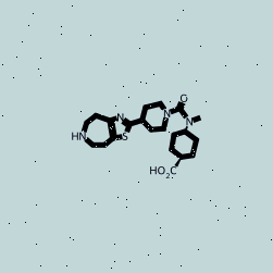 CN(C(=O)N1CCC(c2nc3c(s2)CCNCC3)CC1)[C@H]1CC[C@H](C(=O)O)CC1